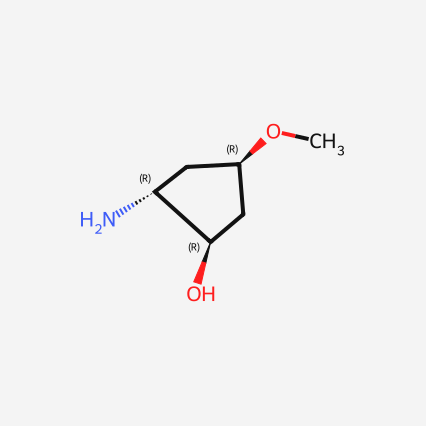 CO[C@@H]1C[C@@H](N)[C@H](O)C1